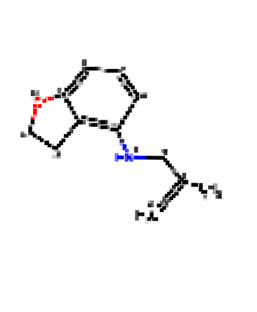 C=C(C)CNc1cccc2c1CCO2